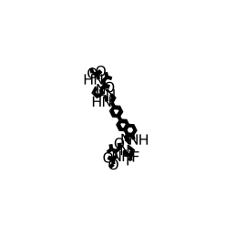 COC(=O)N[C@H](C(=O)N1CCC[C@H]1c1ncc(-c2ccc(-c3ccc4c(c3)CCc3[nH]c([C@@H]5CC(F)(F)CN5C(=O)[C@@H](NC(=O)OC)C(C)C)nc3-4)cc2)[nH]1)C(C)C